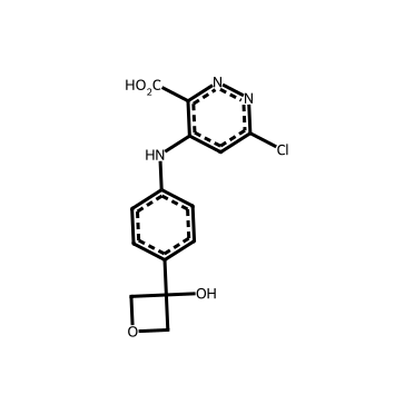 O=C(O)c1nnc(Cl)cc1Nc1ccc(C2(O)COC2)cc1